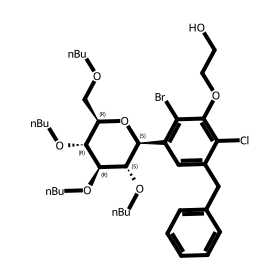 CCCCOC[C@H]1O[C@@H](c2cc(Cc3ccccc3)c(Cl)c(OCCO)c2Br)[C@H](OCCCC)[C@@H](OCCCC)[C@@H]1OCCCC